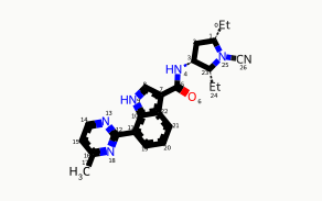 CC[C@H]1C[C@@H](NC(=O)c2c[nH]c3c(-c4nccc(C)n4)cccc23)[C@@H](CC)N1C#N